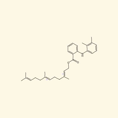 CC(C)=CCC/C(C)=C/CC/C(C)=C/COC(=O)c1ccccc1Nc1cccc(C)c1C